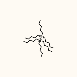 CCCC[CH2][Sn]([CH2]CCCC)([CH2]CCCC)[Sn]([CH2]CCCC)([CH2]CCCC)[CH2]CCCC